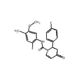 COc1cc(NC(=O)N2C=CC(=O)CC2c2ccc(F)cc2)c(F)cc1C